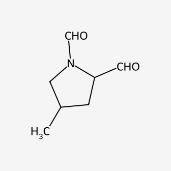 CC1CC(C=O)N(C=O)C1